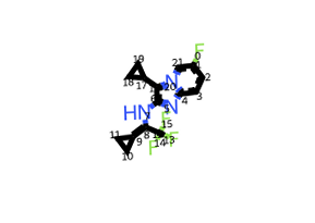 Fc1ccc2nc(NC(=C3CC3)C(F)(F)F)c(C3CC3)n2c1